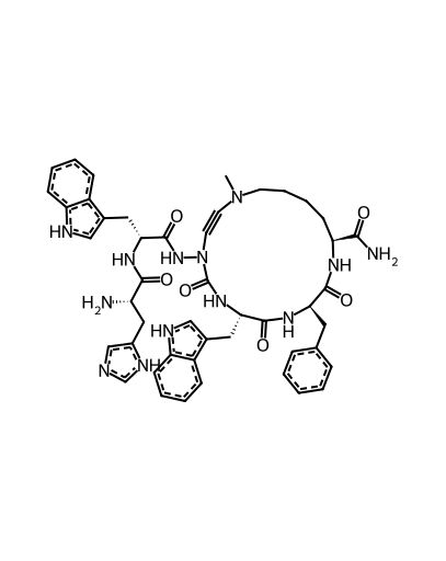 CN1C#CN(NC(=O)[C@@H](Cc2c[nH]c3ccccc23)NC(=O)[C@@H](N)Cc2cnc[nH]2)C(=O)N[C@@H](Cc2c[nH]c3ccccc23)C(=O)N[C@H](Cc2ccccc2)C(=O)N[C@H](C(N)=O)CCCC1